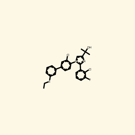 CCSc1cccc(-c2ccc(-n3cc(C(C)(C)O)nc3-c3cccc(F)c3Cl)c(Cl)c2)c1